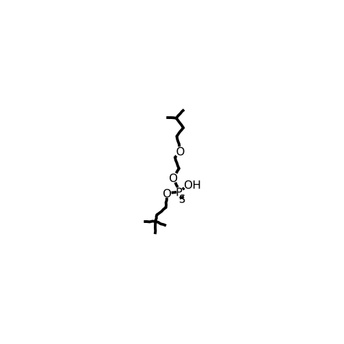 CC(C)CCOCCOP(O)(=S)OCCC(C)(C)C